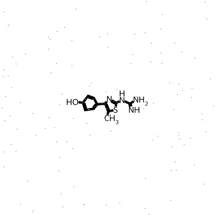 Cc1sc(NC(=N)N)nc1-c1ccc(O)cc1